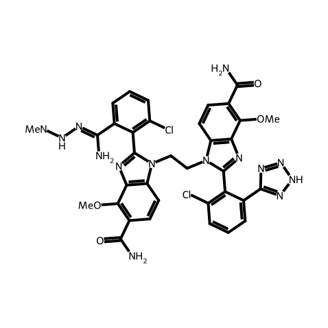 CNN/N=C(\N)c1cccc(Cl)c1-c1nc2c(OC)c(C(N)=O)ccc2n1CCn1c(-c2c(Cl)cccc2-c2nn[nH]n2)nc2c(OC)c(C(N)=O)ccc21